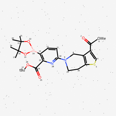 COC(=O)c1csc2c1CN(c1ccc(B3OC(C)(C)C(C)(C)O3)c(C(=O)OC(C)(C)C)n1)CC2